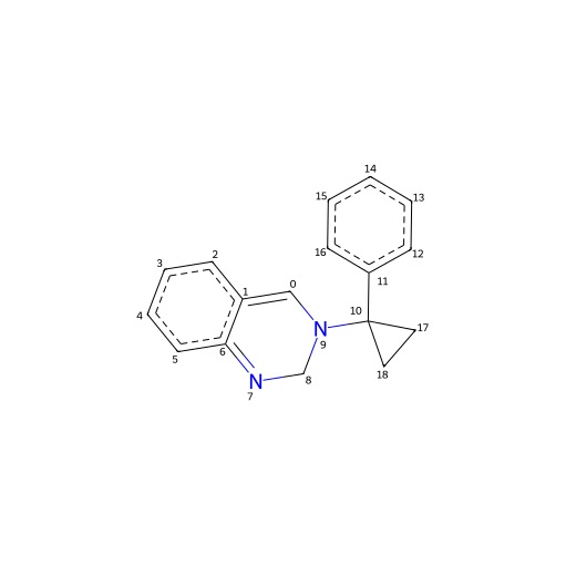 C1=c2ccccc2=NCN1C1(c2ccccc2)CC1